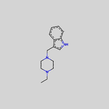 CCN1CCN(Cc2c[nH]c3[c]cccc23)CC1